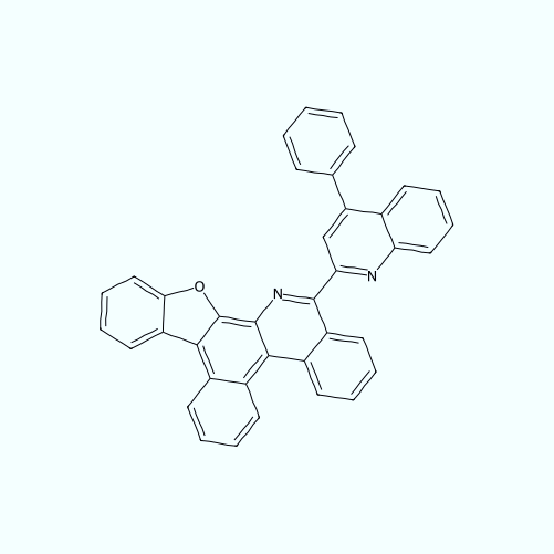 c1ccc(-c2cc(-c3nc4c5oc6ccccc6c5c5ccccc5c4c4ccccc34)nc3ccccc23)cc1